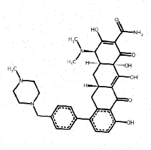 CN1CCN(Cc2ccc(-c3ccc(O)c4c3C[C@@H]3C[C@H]5[C@@H](N(C)C)C(O)=C(C(N)=O)C(=O)[C@@]5(O)C(O)=C3C4=O)cc2)CC1